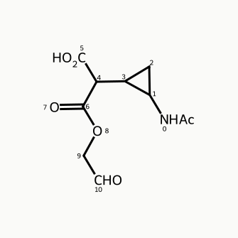 CC(=O)NC1CC1C(C(=O)O)C(=O)OCC=O